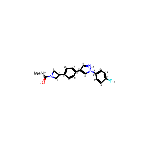 CNC(=O)N1CC(c2ccc(-c3cnn(-c4ccc(F)cc4)c3)cc2)C1